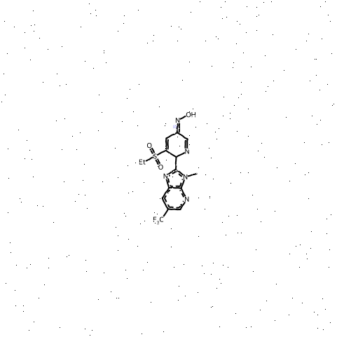 CCS(=O)(=O)C1=C/C(=N/O)C=NC1c1nc2cc(C(F)(F)F)cnc2n1C